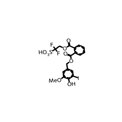 COc1cc(COC(=O)c2ccccc2C(=O)OCC(F)(F)S(=O)(=O)O)cc(I)c1O